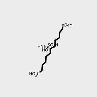 CCCCCCCCCCCCCCCCCCCCCC(=O)O.O=S(=O)(O)O.[NaH]